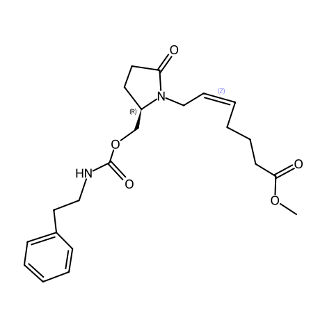 COC(=O)CCC/C=C\CN1C(=O)CC[C@@H]1COC(=O)NCCc1ccccc1